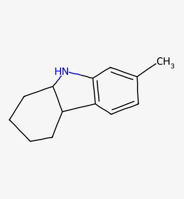 Cc1ccc2c(c1)NC1CCCCC21